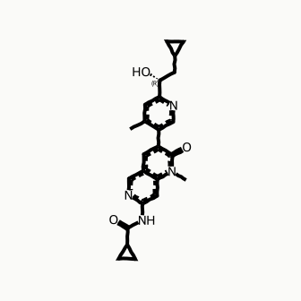 Cc1cc([C@H](O)CC2CC2)ncc1-c1cc2cnc(NC(=O)C3CC3)cc2n(C)c1=O